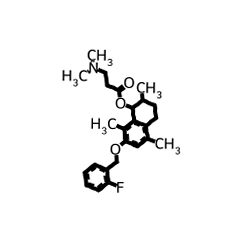 Cc1cc(OCc2ccccc2F)c(C)c2c1CCC(C)C2OC(=O)CCN(C)C